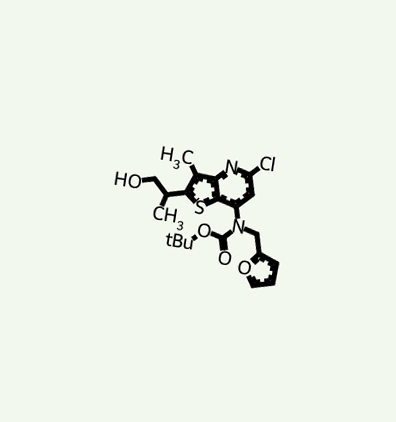 Cc1c(C(C)CO)sc2c(N(Cc3ccco3)C(=O)OC(C)(C)C)cc(Cl)nc12